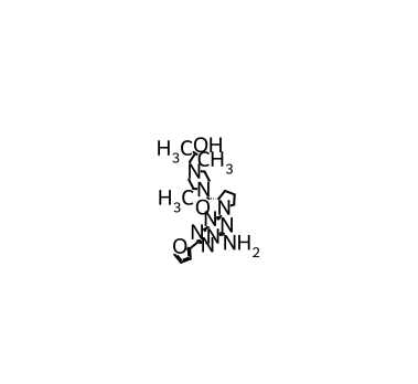 C[C@@H]1CN(CC(C)(C)O)CCN1C(=O)[C@@H]1CCCN1c1nc(N)n2nc(-c3ccco3)nc2n1